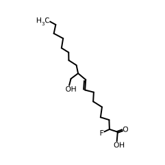 CCCCCCCCC(C=CCCCCCC(F)C(=O)O)CO